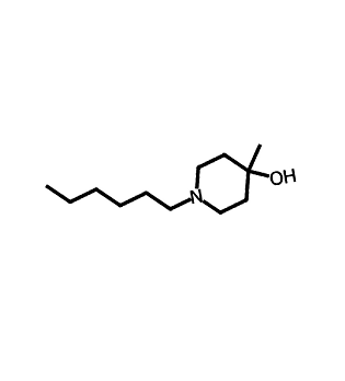 CCCCCCN1CCC(C)(O)CC1